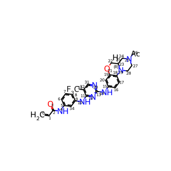 C=CC(=O)Nc1cccc(Nc2nc(Nc3ccc4c(c3)OC[C@H]3CN(C(C)=O)CCN43)ncc2C(F)(F)F)c1